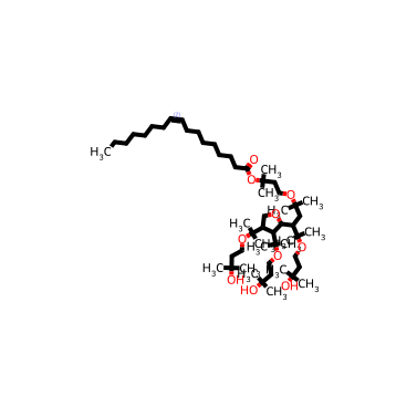 CCCCCCC/C=C\CCCCCCCC(=O)OC(C)(C)CCOC(C)(C)CC(C1OCC(C(C)(C)OCCC(C)(C)O)C1C(C)(C)OCCC(C)(C)O)C(C)(C)OCCC(C)(C)O